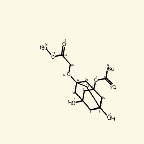 CCC(C)C(=O)OC12CC3(O)CC(O)(CC(OCC(=O)OC(C)(C)C)(C3)C1)C2